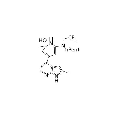 CCCCCN(CC(F)(F)F)C1=CC(c2ccnc3[nH]c(C)cc23)=CC(C)(O)N1